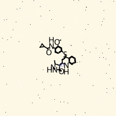 COc1cc(SC2=C/C(=C3/C(=O)NN=C3C)Nc3ccccc32)ccc1NC(=O)C1CC1